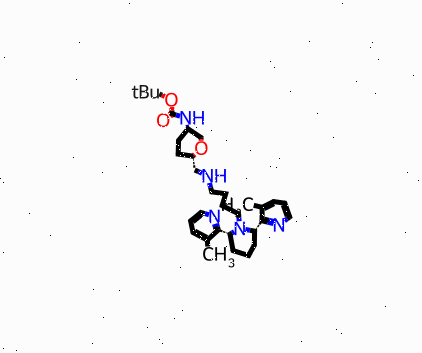 Cc1cccnc1[C@H]1CCC[C@@H](c2ncccc2C)N1CCCCNC[C@@H]1CC[C@@H](NC(=O)OC(C)(C)C)CO1